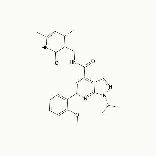 COc1ccccc1-c1cc(C(=O)NCc2c(C)cc(C)[nH]c2=O)c2cnn(C(C)C)c2n1